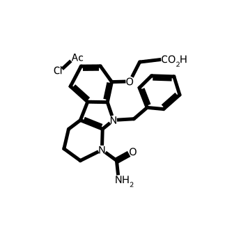 CC(=O)Cl.NC(=O)N1CCCc2c1n(Cc1ccccc1)c1c(OCC(=O)O)cccc21